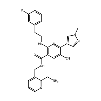 Cn1cc(-c2nc(NCCc3cccc(F)c3)c(C(=O)NCc3cccnc3CN)cc2C#N)cn1